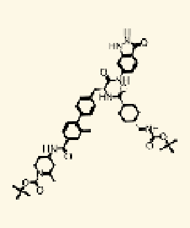 Cc1cc(C(=O)NC2CCN(C(=O)OC(C)(C)C)C(C)C2)ccc1-c1ccc(C[C@H](NC(=O)[C@H]2CC[C@H](CNC(=O)OC(C)(C)C)CC2)C(=O)Nc2ccc3c(=O)[nH][nH]c3c2)cc1